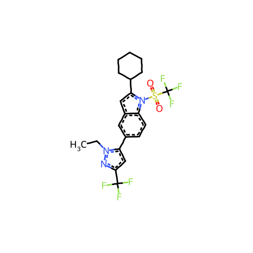 CCn1nc(C(F)(F)F)cc1-c1ccc2c(c1)cc(C1CCCCC1)n2S(=O)(=O)C(F)(F)F